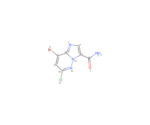 NC(=O)c1cnc2c(Br)cc(Cl)nn12